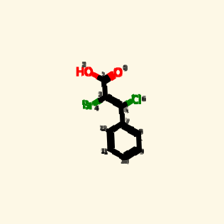 O=C(O)/C(Br)=C(\Cl)c1ccccc1